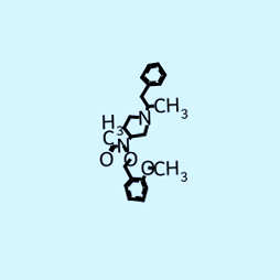 COc1ccccc1CON(C(C)=O)C1CCN(C(C)Cc2ccccc2)CC1